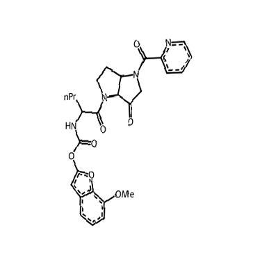 CCCC(NC(=O)Oc1cc2cccc(OC)c2o1)C(=O)N1CCC2C1C(=O)CN2C(=O)c1ccccn1